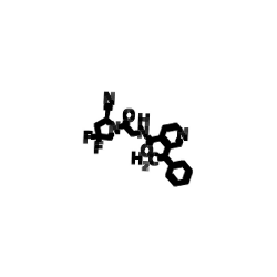 C=C(c1ccccc1)c1cnccc1C(=O)NCC(=O)N1CC(F)(F)C[C@H]1C#N